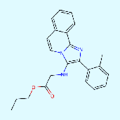 CCCOC(=O)CNc1c(-c2ccccc2C)nc2c3ccccc3ccn12